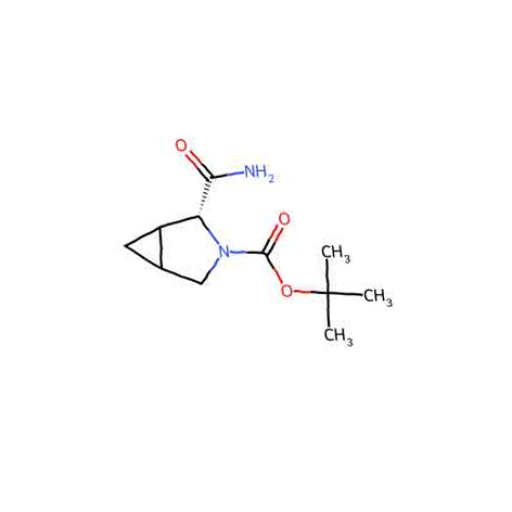 CC(C)(C)OC(=O)N1CC2CC2[C@@H]1C(N)=O